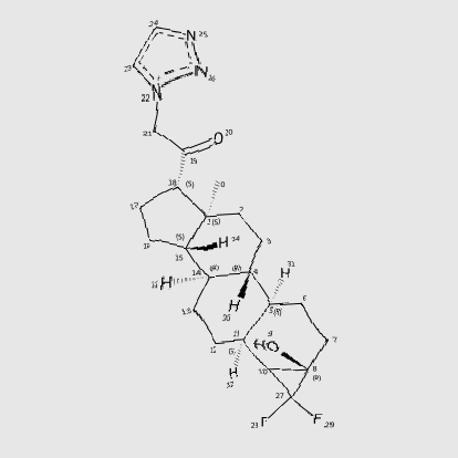 C[C@]12CC[C@@H]3[C@H]4CC[C@@]5(O)C([C@H]4CC[C@H]3[C@@H]1CC[C@@H]2C(=O)Cn1ccnn1)C5(F)F